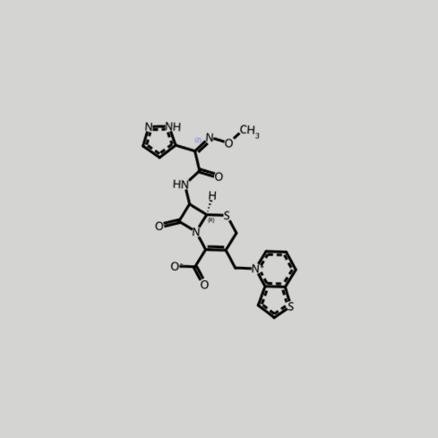 CO/N=C(\C(=O)NC1C(=O)N2C(C(=O)[O-])=C(C[n+]3cccc4sccc43)CS[C@H]12)c1ccn[nH]1